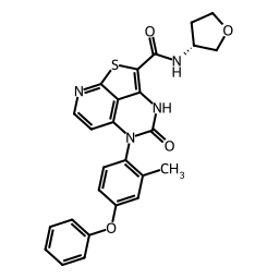 Cc1cc(Oc2ccccc2)ccc1N1C(=O)Nc2c(C(=O)N[C@@H]3CCOC3)sc3nccc1c23